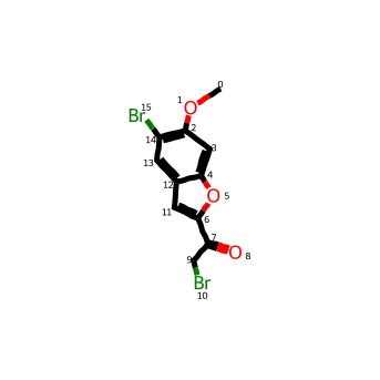 COc1cc2oc(C(=O)CBr)cc2cc1Br